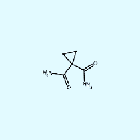 NC(=O)C1(C(N)=O)CC1